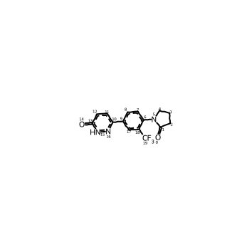 O=C1CCCN1c1ccc(-c2ccc(=O)[nH]n2)cc1C(F)(F)F